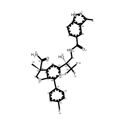 Cc1n[nH]c2ccc(C(=O)NC[C@](O)(c3cc4c(c(-c5ccc(F)cc5)n3)OC[C@]4(C)C(N)=O)C(F)(F)F)cc12